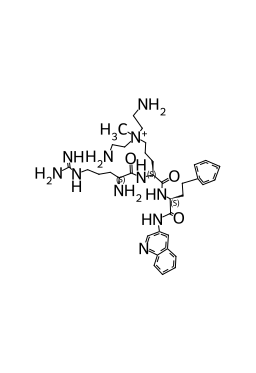 C[N+](CCN)(CCN)CCC[C@H](NC(=O)[C@@H](N)CCCNC(=N)N)C(=O)N[C@@H](CCc1ccccc1)C(=O)Nc1cnc2ccccc2c1